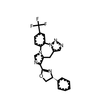 FC(F)(F)c1ccc2c(c1)-n1nncc1Cc1c(C3=N[C@H](c4ccccc4)CO3)ncn1-2